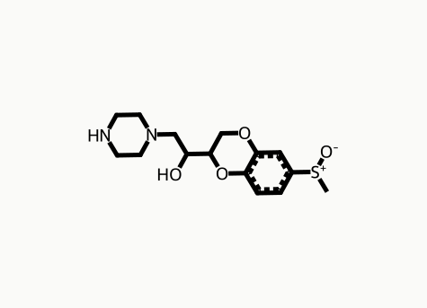 C[S+]([O-])c1ccc2c(c1)OCC(C(O)CN1CCNCC1)O2